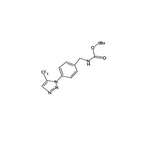 CC(C)(C)OC(=O)NCc1ccc(-n2nncc2C(F)(F)F)cc1